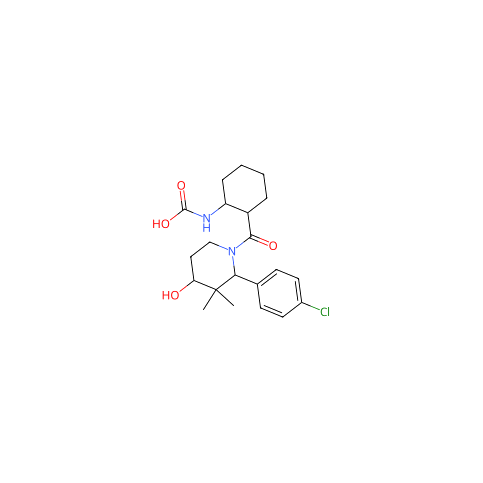 CC1(C)C(O)CCN(C(=O)C2CCCCC2NC(=O)O)C1c1ccc(Cl)cc1